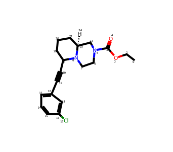 CCOC(=O)N1CCN2C(C#Cc3cccc(Cl)c3)CCC[C@H]2C1